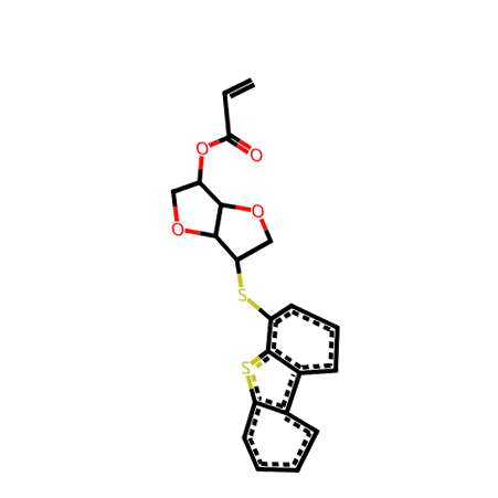 C=CC(=O)OC1COC2C(Sc3cccc4c3sc3ccccc34)COC12